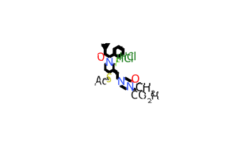 CC(=O)SC1CCN(C(C(=O)C2CC2)c2ccccc2F)C/C1=C/CN1CCN(C(C)C(=O)O)C(=O)C1.Cl.Cl